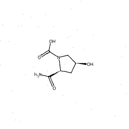 NC(=O)[C@@H]1C[C@H](O)CN1C(=O)O